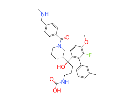 CNCc1ccc(C(=O)N2CCC[C@@H]([C@@](O)(CCCNC(=O)O)c3ccc(OC)c(F)c3-c3cccc(C)c3)C2)cc1